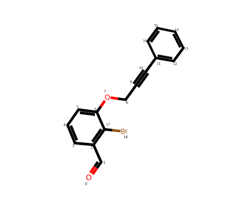 O=Cc1cccc(OCC#Cc2ccccc2)c1Br